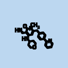 Cn1c(Cc2ccc(-c3ccccn3)cc2)cc(NC2CCOCC2)c(C=N)c1=O